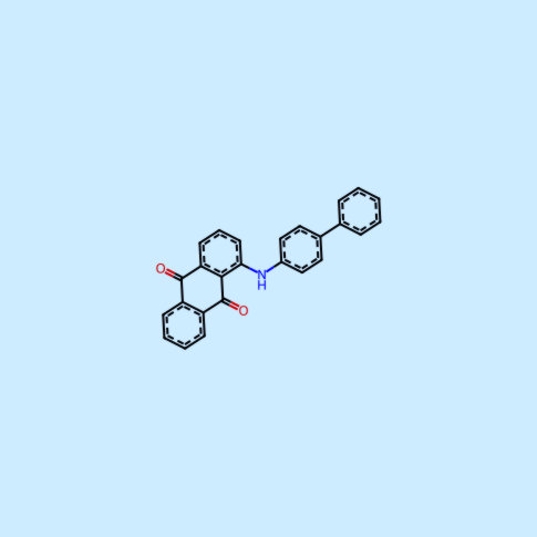 O=C1c2ccccc2C(=O)c2c(Nc3ccc(-c4ccccc4)cc3)cccc21